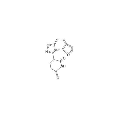 O=C1CCC(c2noc3ccc4ccoc4c23)C(=O)N1